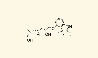 CC(C)(CO)CNCC(O)COc1cccc2c1C(C)(C)C(=O)N2